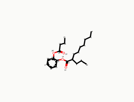 CCCCCCCC(CCC)C(=O)Oc1ccccc1OC(=O)CCC